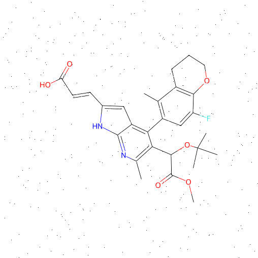 COC(=O)C(OC(C)(C)C)c1c(C)nc2[nH]c(/C=C/C(=O)O)cc2c1-c1cc(F)c2c(c1C)CCCO2